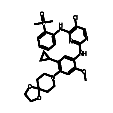 COc1cc(N2CCC3(CC2)OCCO3)c(C2CC2)cc1Nc1ncc(Cl)c(Nc2ccccc2P(C)(C)=O)n1